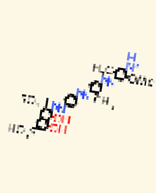 COc1cc(N=Nc2ccc(N=Nc3ccc(N=Nc4c(S(=O)(=O)O)cc5cc(S(=O)(=O)O)cc(O)c5c4O)cc3)c(C)c2)c(C)cc1N